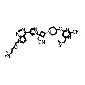 CN(C)Cc1cc(OC2CCN([C@H]3C[C@](CC#N)(n4cc(-c5ncnc6c5ccn6COCC[Si](C)(C)C)cn4)C3)CC2)nc(C(F)(F)F)n1